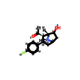 CCC(=O)[C@@H]1[C@H]2C(O)CC(C[C@H]1c1ccc(F)cc1)N2C